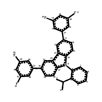 CC(C)c1ccccc1-n1c2ccc(-c3cc(F)cc(F)c3)cc2c2cc(-c3cc(F)cc(F)c3)ccc21